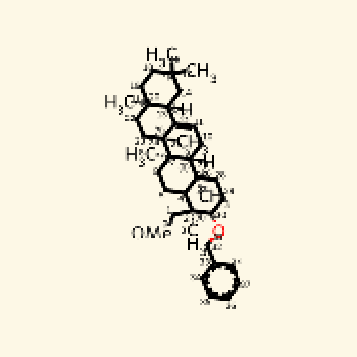 COC[C@@]1(C)C2CC[C@]3(C)[C@H](CC=C4[C@H]5CC(C)(C)CC[C@]5(C)CC[C@]43C)[C@@]2(C)CC[C@@H]1OCc1ccccc1